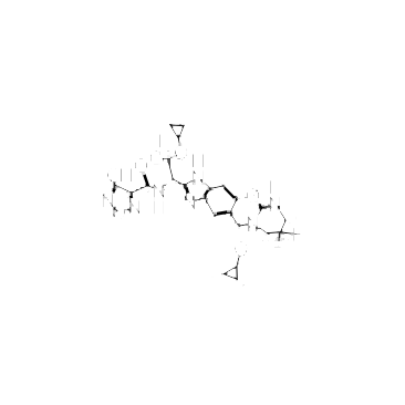 Cc1nonc1C(=O)N[C@H](c1nc2cc([C@@H](COC3CC3)N3CC(F)(F)CNC3=O)ccc2[nH]1)[C@@H](C)OC1CC1